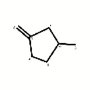 C=C1CCC(C)C1